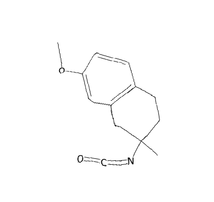 COc1ccc2c(c1)CC(C)(N=C=O)CC2